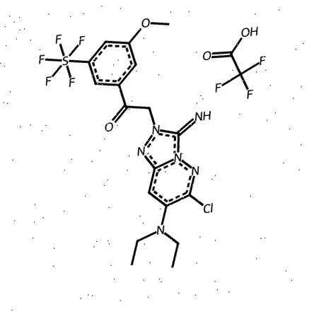 CCN(CC)c1cc2nn(CC(=O)c3cc(OC)cc(S(F)(F)(F)(F)F)c3)c(=N)n2nc1Cl.O=C(O)C(F)(F)F